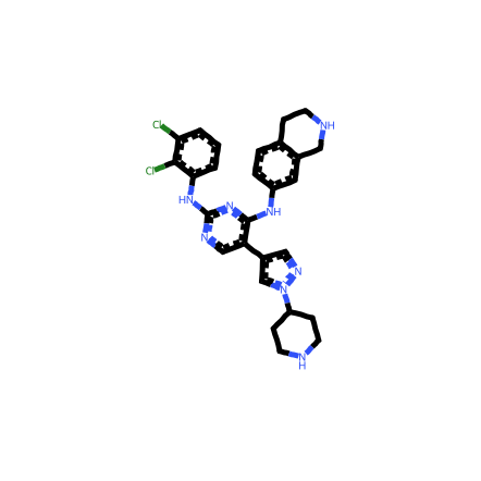 Clc1cccc(Nc2ncc(-c3cnn(C4CCNCC4)c3)c(Nc3ccc4c(c3)CNCC4)n2)c1Cl